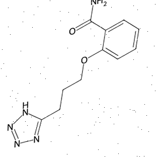 NC(=O)c1ccccc1OCCCc1nnn[nH]1